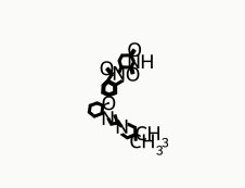 CC1(C)CCN(C2CN([C@H]3CCCC[C@H]3Oc3ccc4c(c3)CN(C3CCC(=O)NC3=O)C4=O)C2)CC1